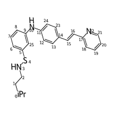 CC(C)CCNSc1cccc(Nc2ccc(/C=C/c3ccccn3)cc2)c1